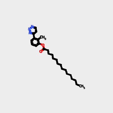 CCCCCCCCCCCCCCCC(=O)Oc1cccc(-c2ccnnn2)c1C